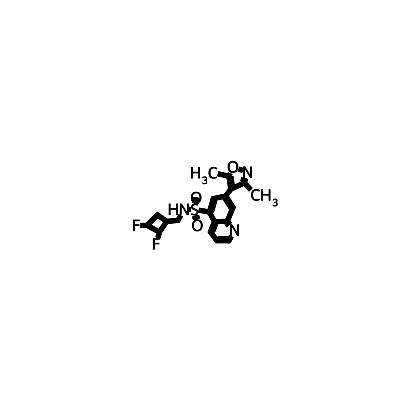 Cc1noc(C)c1-c1cc(S(=O)(=O)NCC2CC(F)C2F)c2cccnc2c1